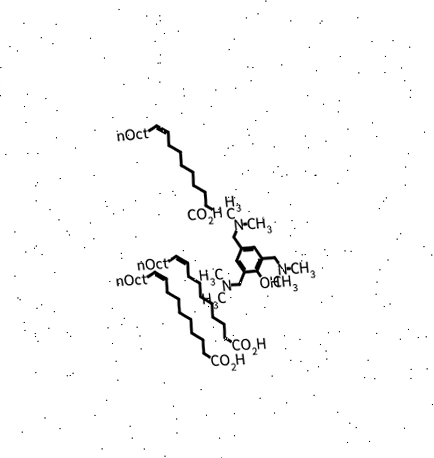 CCCCCCCC/C=C\CCCCCCCC(=O)O.CCCCCCCC/C=C\CCCCCCCC(=O)O.CCCCCCCC/C=C\CCCCCCCC(=O)O.CN(C)Cc1cc(CN(C)C)c(O)c(CN(C)C)c1